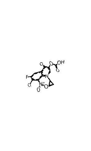 O=C(O)Oc1cn(C2CC2)c2c([N+](=O)[O-])c(Cl)c(F)cc2c1=O